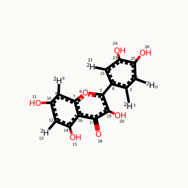 [2H]c1c([2H])c(-c2oc3c([2H])c(O)c([2H])c(O)c3c(=O)c2O)c([2H])c(O)c1O